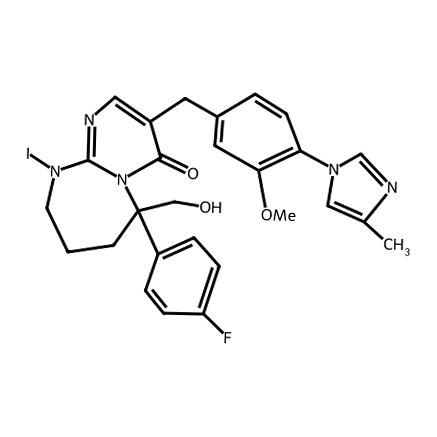 COc1cc(Cc2cnc3n(c2=O)C(CO)(c2ccc(F)cc2)CCCN3I)ccc1-n1cnc(C)c1